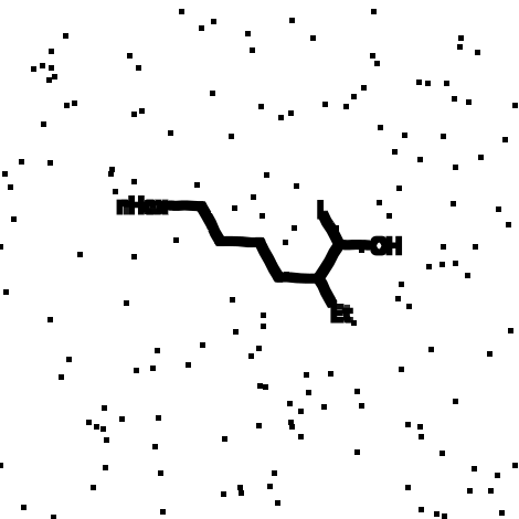 CCCCCCCCCCC(CC)C(O)I